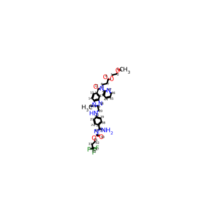 COCCOC(=O)CCN(C(=O)c1ccc2c(c1)nc(CNc1ccc(/C(N)=N/C(=O)OCCC(F)(F)F)cc1)n2C)c1ccccn1